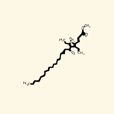 CCCCCCCCCCCCCCCCCC(=O)c1c(CC)c(CCC(=O)OC)n(C)c1CC